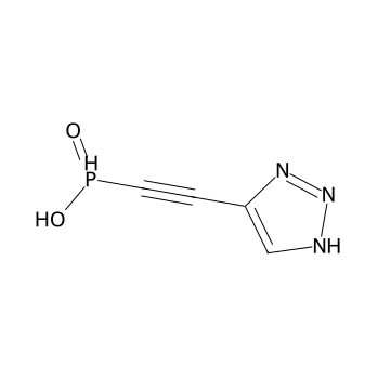 O=[PH](O)C#Cc1c[nH]nn1